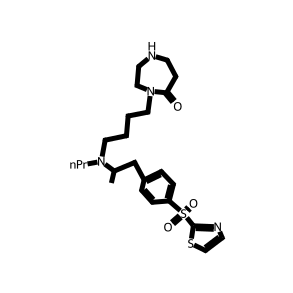 CCCN(CCCCN1CCNCCC1=O)C(C)Cc1ccc(S(=O)(=O)c2nccs2)cc1